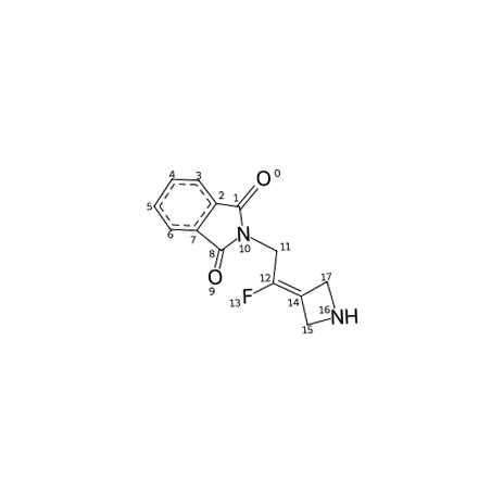 O=C1c2ccccc2C(=O)N1CC(F)=C1CNC1